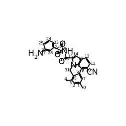 Cc1cc(C)c2c(c1)-c1c(C#N)ccc3cc(C(=O)NS(=O)(=O)c4cccc(N)c4)n(c13)C2